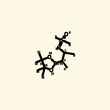 CC(N=S(C)(C)=O)[C@@H](C)B1OC(C)(C)C(C)(C)O1